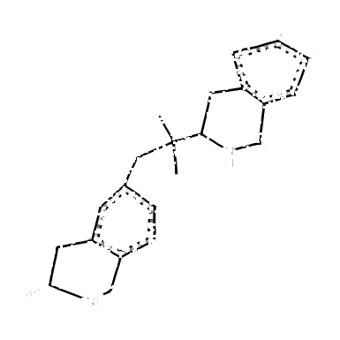 C[C@@H]1Cc2cc(CC(C)(C)C3Cc4ccccc4CN3)ccc2CN1